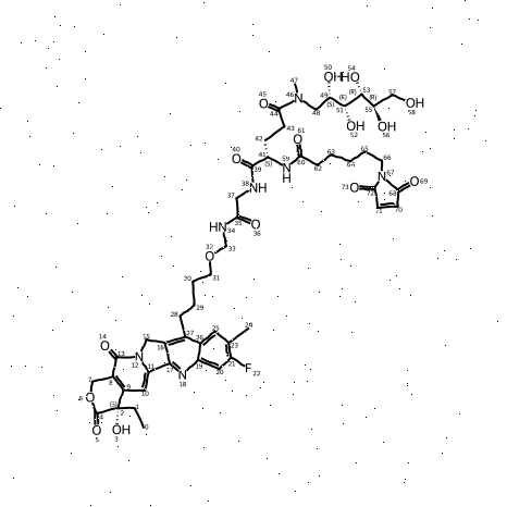 CC[C@@]1(O)C(=O)OCc2c1cc1n(c2=O)Cc2c-1nc1cc(F)c(C)cc1c2CCCCOCNC(=O)CNC(=O)[C@H](CCC(=O)N(C)C[C@H](O)[C@@H](O)[C@H](O)[C@H](O)CO)NC(=O)CCCCCN1C(=O)C=CC1=O